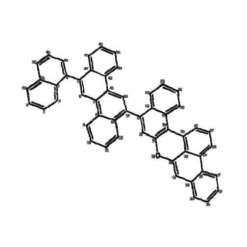 c1ccc2c(-c3cc4c5ccccc5c(-c5cc6c(c7ccccc57)-c5cccc7c5c(cc5ccccc57)O6)cc4c4ccccc34)cccc2c1